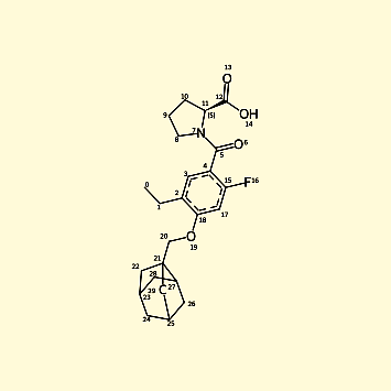 CCc1cc(C(=O)N2CCC[C@H]2C(=O)O)c(F)cc1OCC12CC3CC(CC1C3)C2